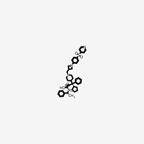 C[C@@H](c1ccccc1)N(C(=O)O)[C@H]1CCC[C@@H]1C(C#N)(c1ccccc1)C1CCN(CC2CN(c3ccc(S(=O)(=O)c4ccncc4)cc3)C2)CC1